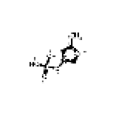 Cc1cn(OP(=O)(O)O)cn1